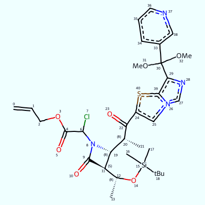 C=CCOC(=O)C(Cl)N1C(=O)[C@H]([C@@H](C)O[Si](C)(C)C(C)(C)C)[C@H]1[C@@H](C)C(=O)c1cn2cnc(C(OC)(OC)c3cccnc3)c2s1